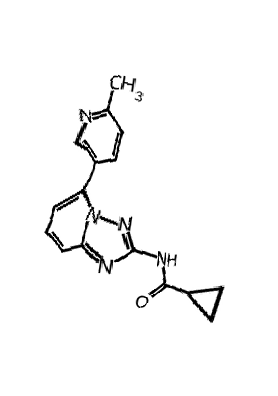 Cc1ccc(-c2cccc3nc(NC(=O)C4CC4)nn23)cn1